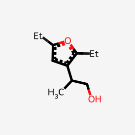 CCc1cc(C(C)CO)c(CC)o1